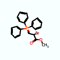 COC(=O)C(Br)C=P(c1ccccc1)(c1ccccc1)c1ccccc1